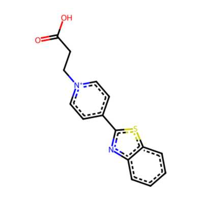 O=C(O)CC[n+]1ccc(-c2nc3ccccc3s2)cc1